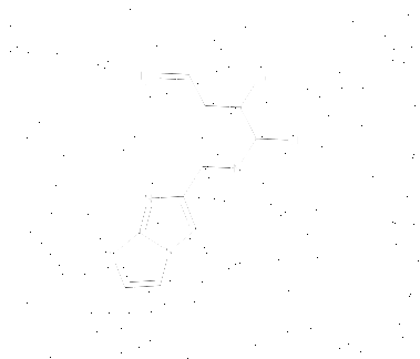 C=CCC(CC)C(C)NCc1cn2ccsc2n1